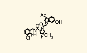 CC(=O)c1cn(CC(=O)N2C[C@](C)(F)C[C@H]2C(=O)NCc2cccc(Cl)c2F)c2cc(O)ccc12